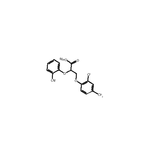 COC(=O)C(COc1ccc(C(F)(F)F)cc1Cl)Oc1ccccc1C#N